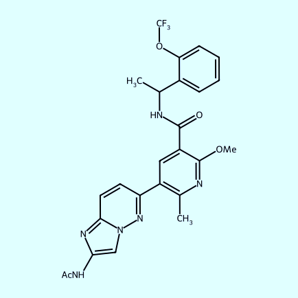 COc1nc(C)c(-c2ccc3nc(NC(C)=O)cn3n2)cc1C(=O)NC(C)c1ccccc1OC(F)(F)F